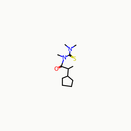 CC(C(=O)N(C)C(=S)N(C)C)C1CCCC1